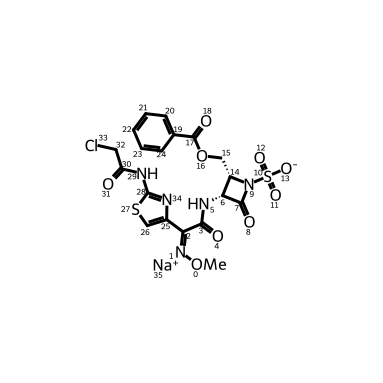 CO/N=C(\C(=O)N[C@H]1C(=O)N(S(=O)(=O)[O-])[C@H]1COC(=O)c1ccccc1)c1csc(NC(=O)CCl)n1.[Na+]